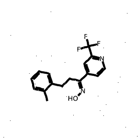 Cc1ccccc1[CH]CC(=NO)c1ccnc(C(F)(F)F)c1